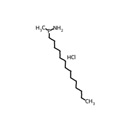 CCCCCCCCCCCCCCP(C)N.Cl